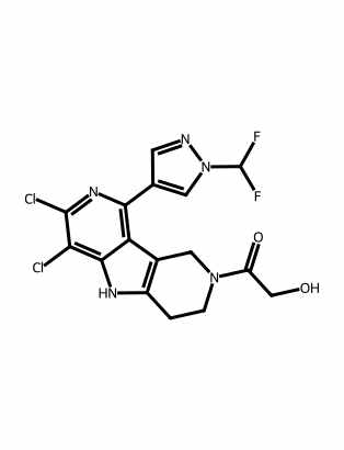 O=C(CO)N1CCc2[nH]c3c(Cl)c(Cl)nc(-c4cnn(C(F)F)c4)c3c2C1